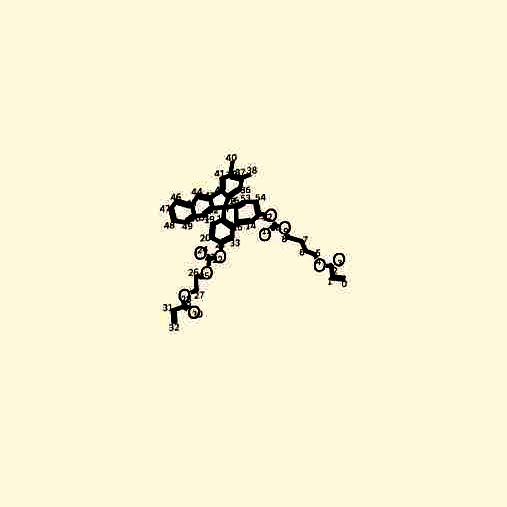 C=CC(=O)OCCCCOC(=O)Oc1ccc(C2(c3ccc(OC(=O)OCCOC(=O)C=C)cc3)c3cc(C)c(C)cc3-c3cc4ccccc4cc32)cc1